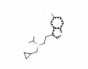 Cc1ccc2[nH]cc(CCN(CC3CC3)C(C)C)c2c1